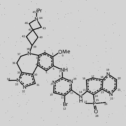 COc1cc2c(cc1Nc1ncc(Br)c(Nc3ccc4nccnc4c3P(C)(C)=O)n1)-c1cnn(C)c1CCN2C1CC2(C1)CN(C(C)C)C2